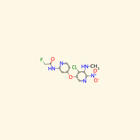 CNc1c([N+](=O)[O-])ncc(Oc2ccnc(NC(=O)CF)c2)c1Cl